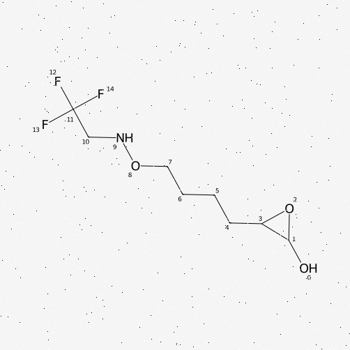 OC1OC1CCCCONCC(F)(F)F